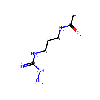 CC(=O)NCCCNC(=N)NN